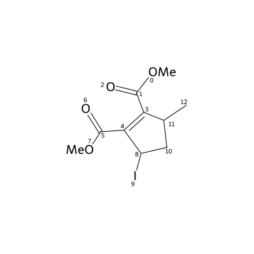 COC(=O)C1=C(C(=O)OC)C(I)CC1C